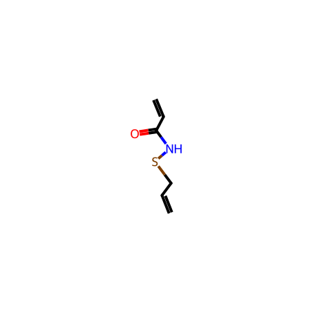 C=CCSNC(=O)C=C